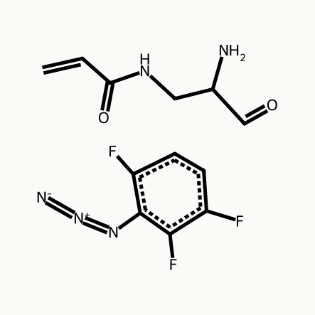 C=CC(=O)NCC(N)C=O.[N-]=[N+]=Nc1c(F)ccc(F)c1F